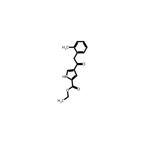 CCOC(=O)c1cc(C(=O)Cc2ccccc2C)c[nH]1